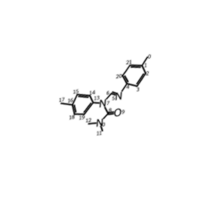 Cc1ccc(N=CN(C(=O)N(C)C)c2ccc(C)cc2)cc1